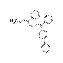 C=C/C=C(\C=C/CN(c1ccccc1)c1ccc(-c2ccccc2)cc1)c1ccccc1